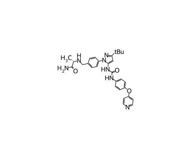 C[C@H](NCc1ccc(-n2nc(C(C)(C)C)cc2NC(=O)Nc2ccc(Oc3ccncc3)cc2)cc1)C(N)=O